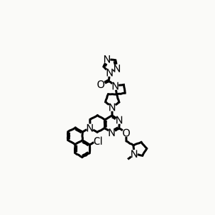 CN1CCCC1COc1nc2c(c(N3CCC4(CCN4C(=O)n4cncn4)C3)n1)CCN(c1cccc3cccc(Cl)c13)C2